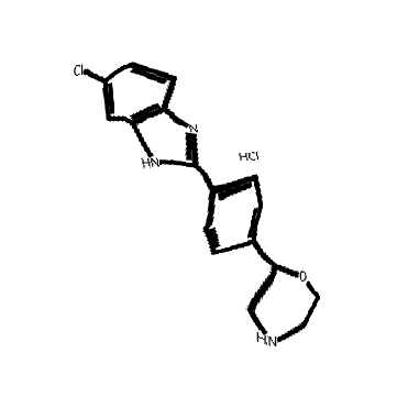 Cl.Clc1ccc2nc(-c3ccc(C4CNCCO4)cc3)[nH]c2c1